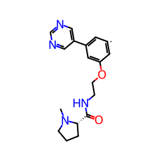 CN1CCC[C@H]1C(=O)NCCOc1c[c]cc(-c2cncnc2)c1